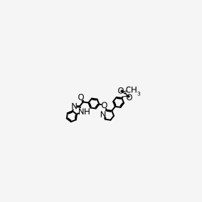 CS(=O)(=O)c1ccc(C2=C(Oc3ccc(C(=O)c4nc5ccccc5[nH]4)cc3)N=CCC2)cc1